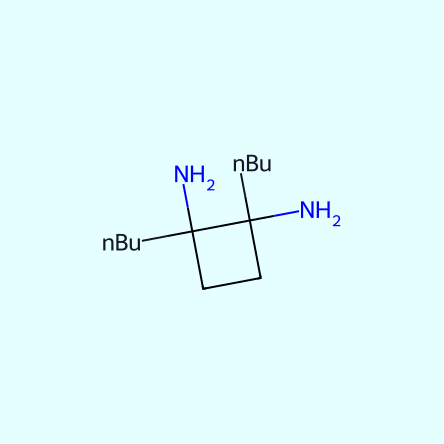 CCCCC1(N)CCC1(N)CCCC